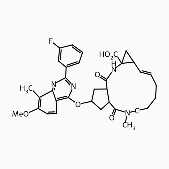 COc1ccc2c(OC3CC4C(=O)NC5(C(=O)O)CC5/C=C/CCCCN(C)C(=O)C4C3)nc(-c3cccc(F)c3)nc2c1C